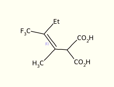 CC/C(=C(/C)C(C(=O)O)C(=O)O)C(F)(F)F